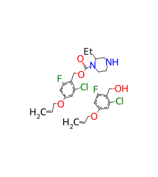 C=CCOc1cc(F)c(CO)c(Cl)c1.C=CCOc1cc(F)c(COC(=O)N2CCNCC2CC)c(Cl)c1